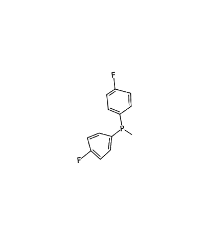 CP(c1ccc(F)cc1)c1ccc(F)cc1